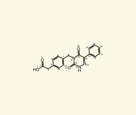 O=C(O)Cc1ccc(Cn2c(=O)[nH]nc(-c3ccccc3)c2=O)cc1